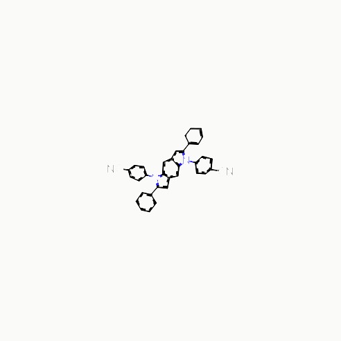 N#Cc1ccc(-n2c(C3=CC=CCC3)cc3cc4c(cc(-c5ccccc5)n4-c4ccc(C#N)cc4)cc32)cc1